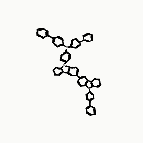 C1=Cc2c(c3cc(-c4ccc5c(c4)c4ccccc4n5-c4ccc(N(c5ccc(-c6ccccc6)cc5)c5ccc(-c6ccccc6)cc5)cc4)ccc3n2-c2ccc(-c3ccccc3)cc2)CC1